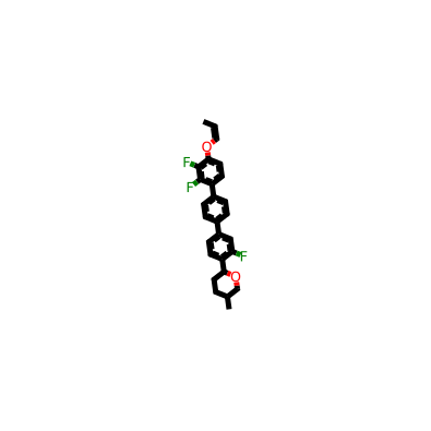 C/C=C\Oc1ccc(-c2ccc(-c3ccc(C4CCC(C)CO4)c(F)c3)cc2)c(F)c1F